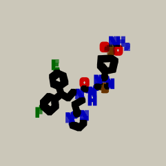 NS(=O)(=O)c1ccc(-c2nsc(NC(=O)N(CCc3ncccn3)CCC(c3ccc(F)cc3)c3ccc(F)cc3)n2)cc1